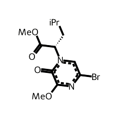 COC(=O)[C@H](CC(C)C)n1cc(Br)nc(OC)c1=O